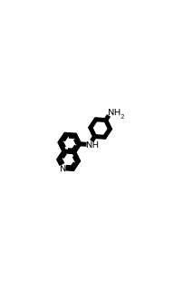 NC1CCC(Nc2cccc3cnccc23)CC1